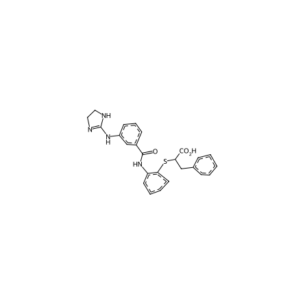 O=C(Nc1ccccc1SC(Cc1ccccc1)C(=O)O)c1cccc(NC2=NCCN2)c1